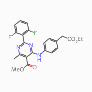 CCOC(=O)Cc1ccc(Nc2nc(-c3c(F)cccc3F)nc(C)c2C(=O)OC)cc1